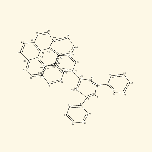 c1ccc(-c2nc(-c3ccccc3)nc(-c3cccc(-c4cccc5ccc6ccc7cccc(-c8ccccc8)c7c6c45)c3)n2)cc1